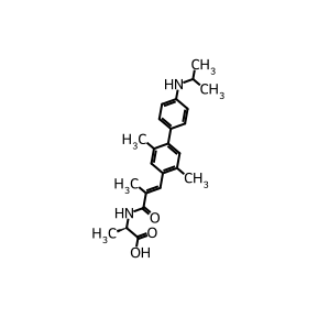 C/C(=C\c1cc(C)c(-c2ccc(NC(C)C)cc2)cc1C)C(=O)N[C@H](C)C(=O)O